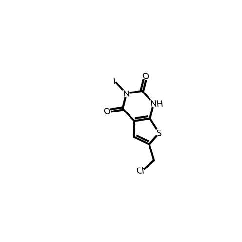 O=c1[nH]c2sc(CCl)cc2c(=O)n1I